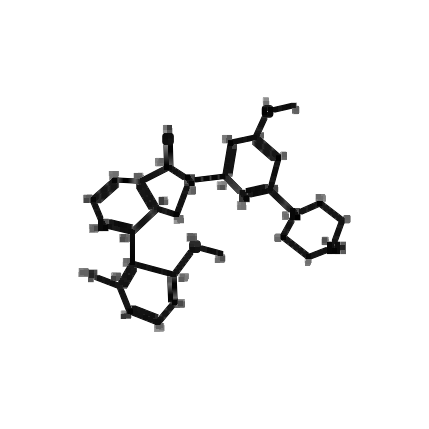 COc1cc(N2CCNCC2)nc(N2Cc3c(ccnc3-c3c(F)cccc3OC)C2=O)c1